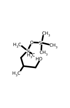 CC(CO)C[Si](C)(C)O[Si](C)(C)C